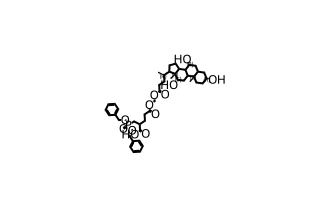 C[C@H](CCC(=O)OCOC(=O)CCC(CP(=O)(OCc1ccccc1)OCc1ccccc1)C(=O)O)C1CCC2C3C(C[C@H](O)[C@@]21C)[C@@]1(C)CC[C@@H](O)CC1C[C@H]3O